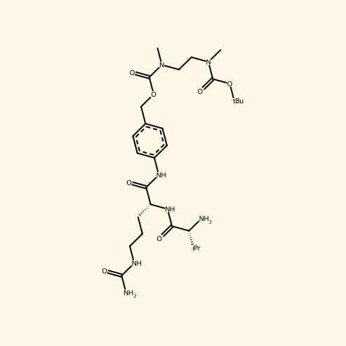 CC(C)[C@@H](N)C(=O)N[C@H](CCCNC(N)=O)C(=O)Nc1ccc(COC(=O)N(C)CCN(C)C(=O)OC(C)(C)C)cc1